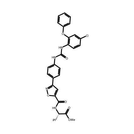 COC(=O)[C@@H](NC(=O)c1cc(-c2ccc(NC(=O)Nc3ccc(Cl)cc3Oc3ccccc3)cc2)no1)C(C)C